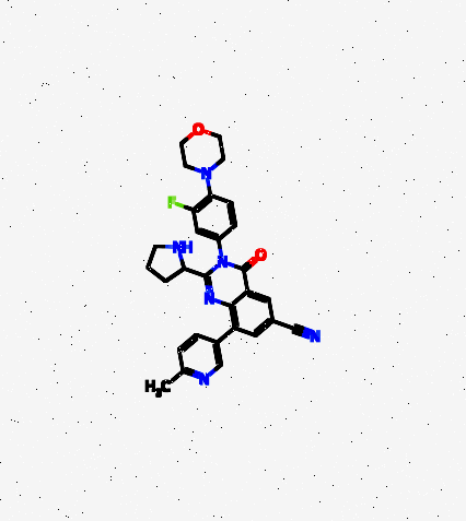 Cc1ccc(-c2cc(C#N)cc3c(=O)n(-c4ccc(N5CCOCC5)c(F)c4)c(C4CCCN4)nc23)cn1